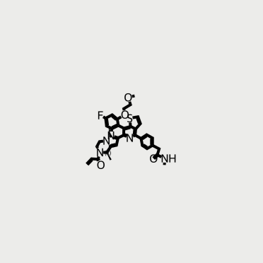 C=CC(=O)N1CCn2nc(-c3nc(-c4ccc(CC(=O)NC)cc4)c4ccsc4c3-c3c(F)cc(F)cc3OCCOC)cc2[C@H]1C